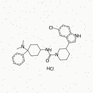 CN(C)C1(c2ccccc2)CCC(NC(=O)N2CCCC(c3c[nH]c4ccc(Cl)cc34)C2)CC1.Cl